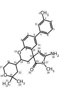 Cc1cccc(-c2ccc3c(c2)C2(CC(C4CCOC(C)(C)C4)O3)N=C(N)N(C)C2=O)c1